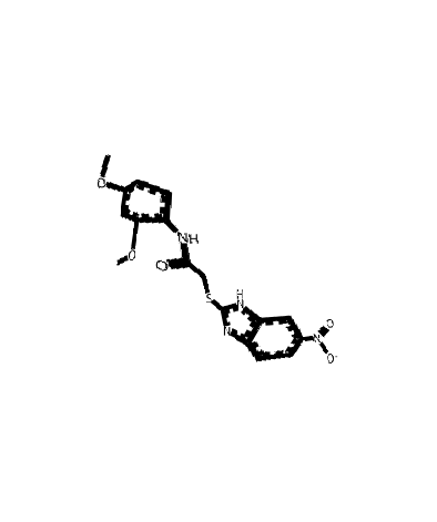 COc1ccc(NC(=O)CSc2nc3ccc([N+](=O)[O-])cc3[nH]2)c(OC)c1